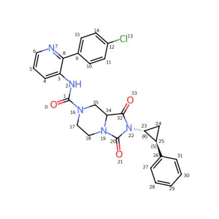 O=C(Nc1cccnc1-c1ccc(Cl)cc1)N1CCN2C(=O)N([C@@H]3C[C@H]3c3ccccc3)C(=O)C2C1